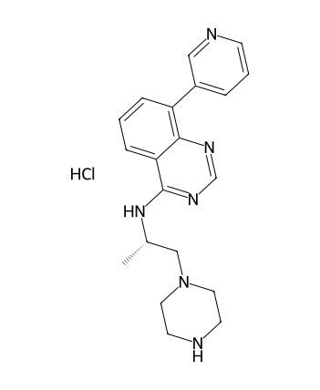 C[C@@H](CN1CCNCC1)Nc1ncnc2c(-c3cccnc3)cccc12.Cl